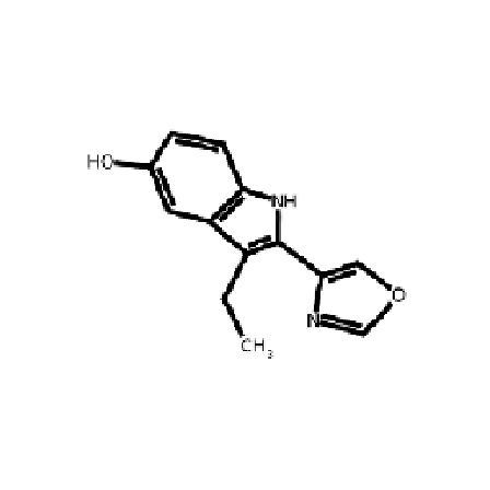 CCc1c(-c2cocn2)[nH]c2ccc(O)cc12